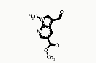 COC(=O)c1cnc2c(c1)c(C=O)cn2C